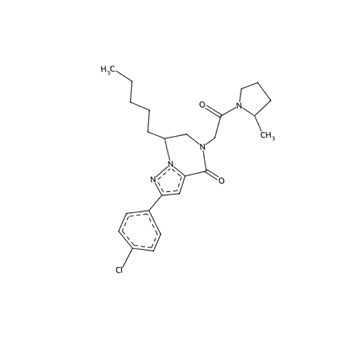 CCCCCC1CN(CC(=O)N2CCCC2C)C(=O)c2cc(-c3ccc(Cl)cc3)nn21